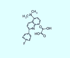 CN(C)c1cccc2nc(-c3ccc(F)cc3)ccc12.O=C(O)C(=O)O